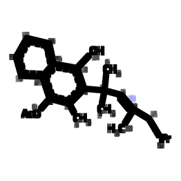 CC(=O)Oc1c(C)c(C(C)(C)/C=C(\C)CC(C)C)c(O)c2ccccc12